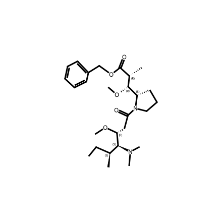 CC[C@H](C)[C@@H]([C@@H](CC(=O)N1CCC[C@H]1[C@H](OC)[C@@H](C)C(=O)OCc1ccccc1)OC)N(C)C